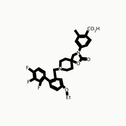 CCOc1ccc(-c2ccc(F)c(F)c2F)c(CN2CCC3(CC2)CN(c2ccc(C(=O)O)c(C)c2)C(=O)O3)c1